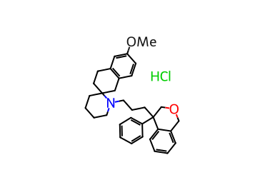 COc1ccc2c(c1)CCC1(CCCCN1CCCC1(c3ccccc3)COCc3ccccc31)C2.Cl